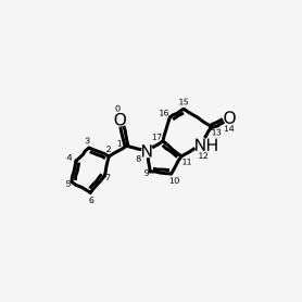 O=C(c1ccccc1)n1ccc2[nH]c(=O)ccc21